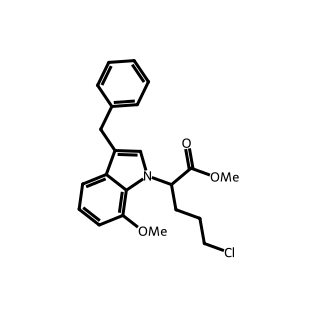 COC(=O)C(CCCCl)n1cc(Cc2ccccc2)c2cccc(OC)c21